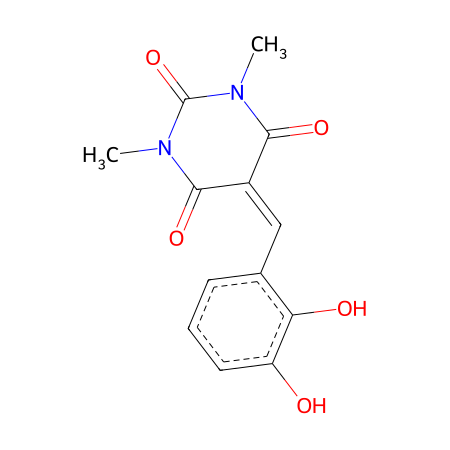 CN1C(=O)C(=Cc2cccc(O)c2O)C(=O)N(C)C1=O